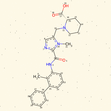 Cc1c(NC(=O)c2ncc(CN3CCCC[C@H]3C(=O)O)n2C)cccc1-c1ccccc1